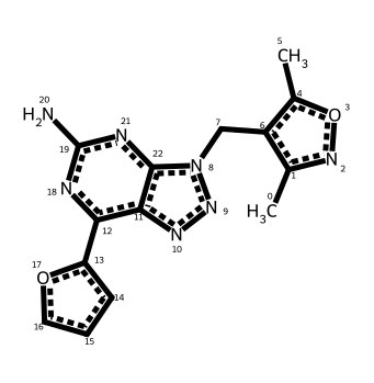 Cc1noc(C)c1Cn1nnc2c(-c3ccco3)nc(N)nc21